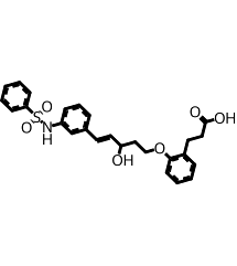 O=C(O)CCc1ccccc1OCCC(O)/C=C/c1cccc(NS(=O)(=O)c2ccccc2)c1